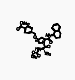 COC(=O)c1ccc(CO[C@H]2C[C@@H](C(=O)N[C@@H]3CCCc4ccccc43)N(C(=O)[C@@H](NC(=O)OC(C)(C)C)C(C)(C)C)C2)cc1